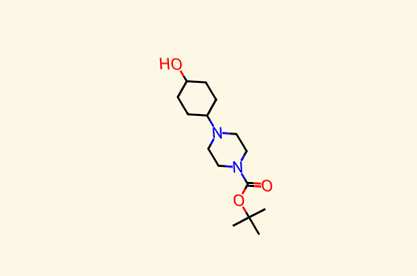 CC(C)(C)OC(=O)N1CCN(C2CCC(O)CC2)CC1